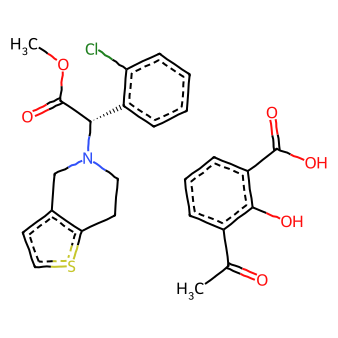 CC(=O)c1cccc(C(=O)O)c1O.COC(=O)[C@H](c1ccccc1Cl)N1CCc2sccc2C1